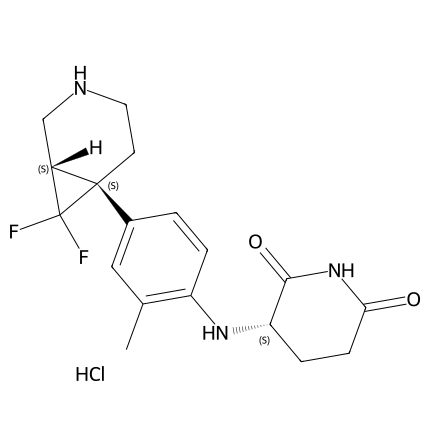 Cc1cc([C@]23CCNC[C@H]2C3(F)F)ccc1N[C@H]1CCC(=O)NC1=O.Cl